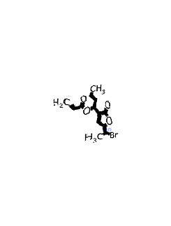 C=CC(=O)OC(CCC)C1=C/C(=C(\C)Br)OC1=O